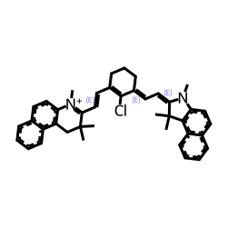 CN1/C(=C/C=C2\CCCC(/C=C/C3=[N+](C)c4ccc5ccccc5c4CC3(C)C)=C2Cl)C(C)(C)c2c1ccc1ccccc21